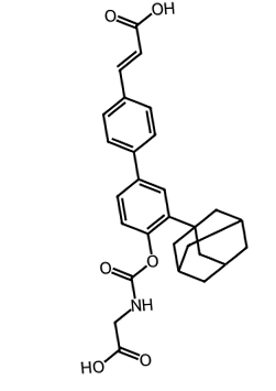 O=C(O)C=Cc1ccc(-c2ccc(OC(=O)NCC(=O)O)c(C34CC5CC(CC(C5)C3)C4)c2)cc1